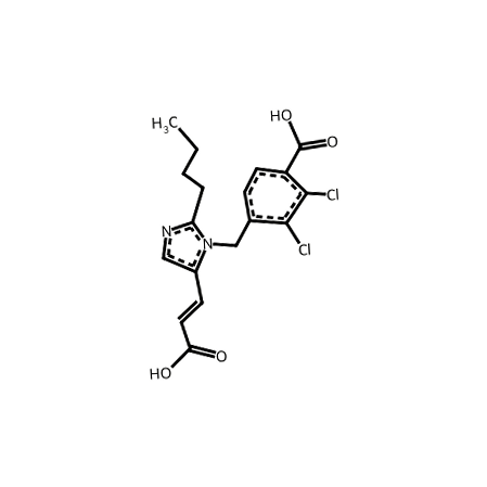 CCCCc1ncc(/C=C/C(=O)O)n1Cc1ccc(C(=O)O)c(Cl)c1Cl